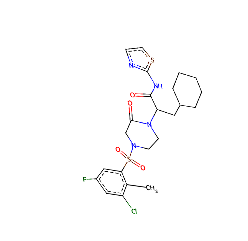 Cc1c(Cl)cc(F)cc1S(=O)(=O)N1CCN(C(CC2CCCCC2)C(=O)Nc2nccs2)C(=O)C1